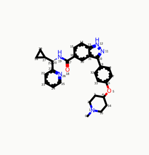 CN1CCC(Oc2ccc(-c3n[nH]c4ccc(C(=O)N[C@H](c5ccccn5)C5CC5)cc34)cc2)CC1